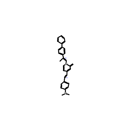 C=C1C=C(/C=C/c2ccc(N(C)C)cc2)C=CN1/C=C(\C)c1ccc(-c2ccccc2)cc1